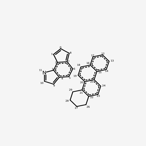 C1=Cc2c3c(ccc2=C1)=CC=N3.c1ccc2c(c1)ccc1c3c(ccc12)CCCC3